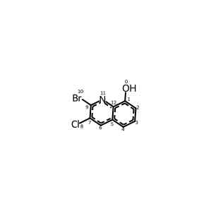 Oc1cccc2cc(Cl)c(Br)nc12